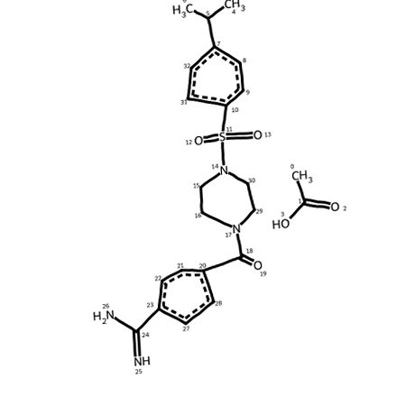 CC(=O)O.CC(C)c1ccc(S(=O)(=O)N2CCN(C(=O)c3ccc(C(=N)N)cc3)CC2)cc1